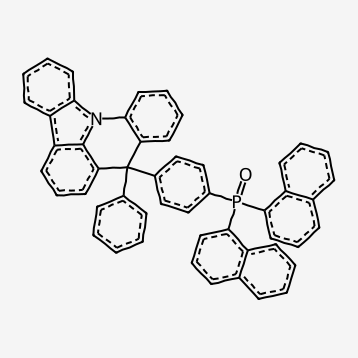 O=P(c1ccc(C2(c3ccccc3)c3ccccc3-n3c4ccccc4c4cccc2c43)cc1)(c1cccc2ccccc12)c1cccc2ccccc12